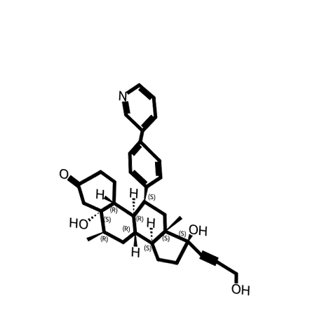 C[C@@H]1C[C@@H]2[C@H]([C@@H](c3ccc(-c4cccnc4)cc3)C[C@@]3(C)[C@H]2CC[C@@]3(O)C#CCO)[C@H]2CCC(=O)C[C@]12O